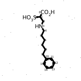 O=C(O)C(CNCCCCCCc1ccccc1)S(=O)(=O)O